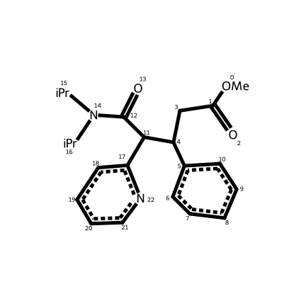 COC(=O)CC(c1ccccc1)C(C(=O)N(C(C)C)C(C)C)c1ccccn1